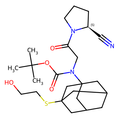 CC(C)(C)OC(=O)N(CC(=O)N1CCC[C@H]1C#N)C12CC3CC(CC(SCCO)(C3)C1)C2